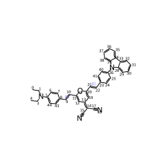 CCN(CC)c1ccc(/C=C/C2=CC(=C(C#N)C#N)C=C(/C=C/c3ccc(-n4c5ccccc5c5ccccc54)cc3)O2)cc1